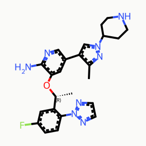 Cc1nn(C2CCNCC2)cc1-c1cnc(N)c(O[C@H](C)c2cc(F)ccc2-n2nccn2)c1